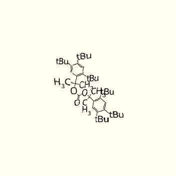 CC(C)(C)c1cc(C(C)(C)C)c(C(C)(C)OC(=O)OC(C)(C)c2cc(C(C)(C)C)c(C(C)(C)C)cc2C(C)(C)C)cc1C(C)(C)C